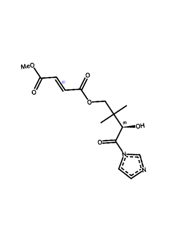 COC(=O)/C=C/C(=O)OCC(C)(C)[C@@H](O)C(=O)n1ccnc1